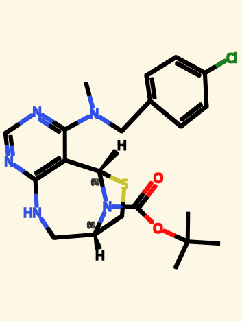 CN(Cc1ccc(Cl)cc1)c1ncnc2c1[C@@H]1SC[C@H](CN2)N1C(=O)OC(C)(C)C